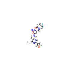 N[C@@H](CC(=O)N1CCc2c(nc(-c3ccoc3)nc2C(F)(F)F)C1)CN1CC(F)(F)CCC1=O